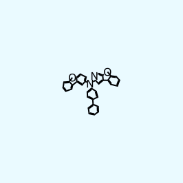 c1ccc(-c2ccc(N(c3ccc4oc5ccccc5c4c3)c3cc4c(cn3)oc3ccccc34)cc2)cc1